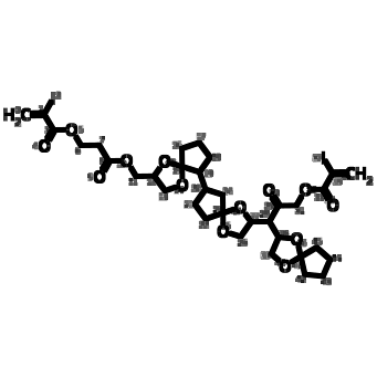 C=C(I)C(=O)OCCC(=O)OCC1COC2(CCCC2C2CCC3(C2)OCC(C(C(=O)COC(=O)C(=C)I)C2COC4(CCCC4)O2)O3)O1